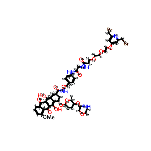 COc1cccc2c1C(=O)c1c(O)c3c(c(O)c1C2=O)CC(C(=O)NOCc1ccc(NC(=O)CNC(=O)CCOCCOCCOc2cc(CBr)nc(CBr)c2)cc1)C[C@@H]3O[C@H]1CC[C@H](O[C@@H]2COCCN2)[C@H](C)O1